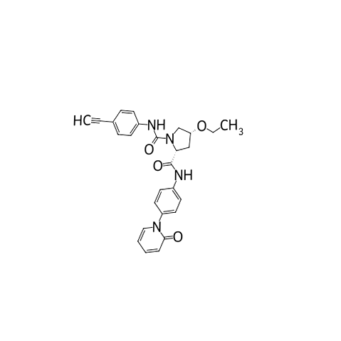 C#Cc1ccc(NC(=O)N2C[C@H](OCC)C[C@@H]2C(=O)Nc2ccc(-n3ccccc3=O)cc2)cc1